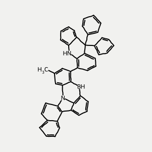 Cc1cc(-c2cccc3c2Nc2ccccc2C3(c2ccccc2)c2ccccc2)c2c(c1)-n1c3ccc4ccccc4c3c3cccc(c31)B2